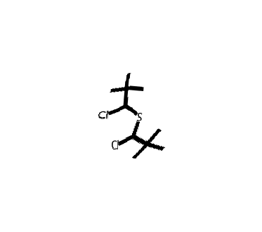 CC(C)(C)C(Cl)SC(Cl)C(C)(C)C